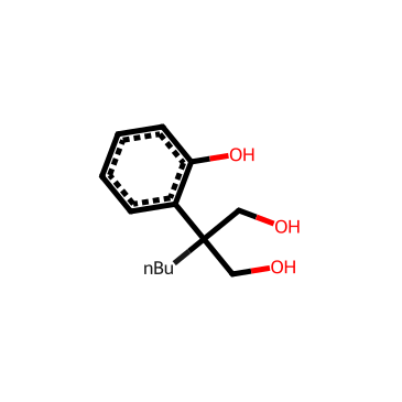 CCCCC(CO)(CO)c1ccccc1O